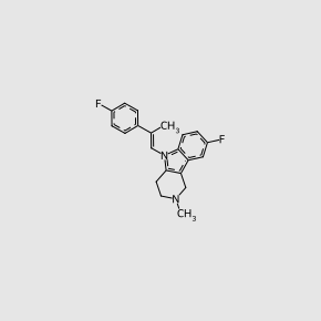 CC(=Cn1c2c(c3cc(F)ccc31)CN(C)CC2)c1ccc(F)cc1